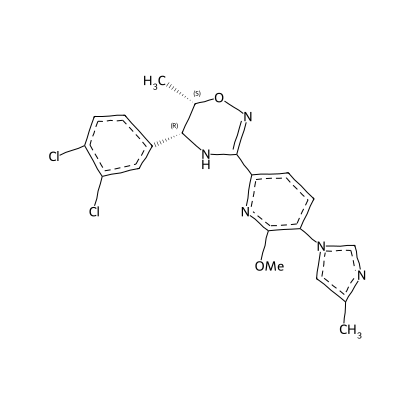 COc1nc(C2=NO[C@@H](C)[C@@H](c3ccc(Cl)c(Cl)c3)N2)ccc1-n1cnc(C)c1